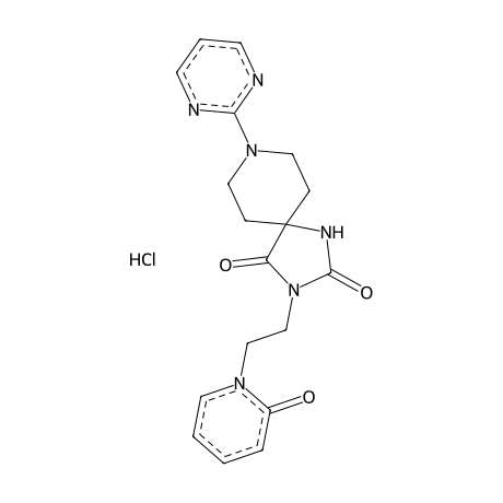 Cl.O=C1NC2(CCN(c3ncccn3)CC2)C(=O)N1CCn1ccccc1=O